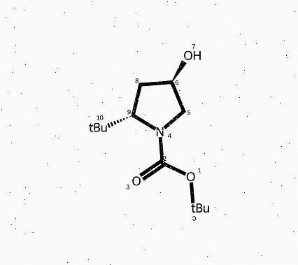 CC(C)(C)OC(=O)N1C[C@H](O)C[C@H]1C(C)(C)C